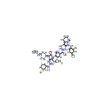 Cc1nc(Nc2cccc(F)c2)nc2c1n(-c1ccc(C(=O)N3CCc4c(n(Cc5ccc(Cl)cc5F)c5ncccc45)C3)nc1)c(=O)n2C1CCN(CC(C)(C)C)CC1